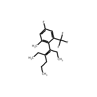 CCC/C(CC)=C(\CC)c1c(C)cc(F)cc1C(F)(F)F